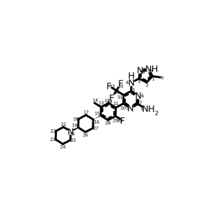 Cc1cc(Nc2nc(N)nc(-c3cc(C)c([C@H]4CC[C@H](N5CCCCC5)CC4)cc3F)c2C(F)(F)F)n[nH]1